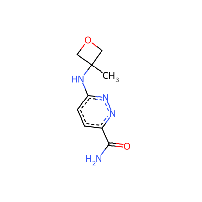 CC1(Nc2ccc(C(N)=O)nn2)COC1